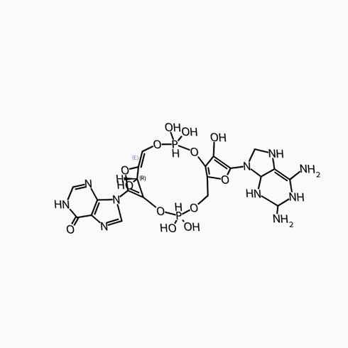 NC1=C2NCN(c3oc4c(c3O)O[PH](O)(O)O/C=C3/OC(n5cnc6c(=O)[nH]cnc65)=C(O[PH](O)(O)OC4)[C@@H]3O)C2NC(N)N1